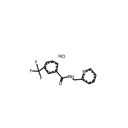 Cl.O=C(NCc1ccccn1)c1cccc(C(F)(F)F)c1